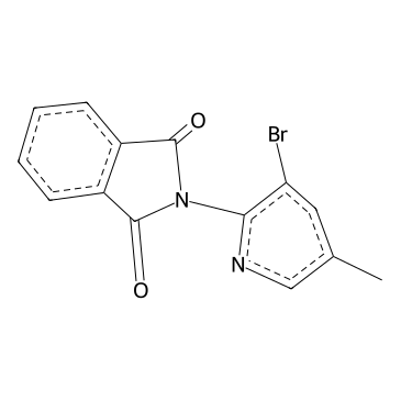 Cc1cnc(N2C(=O)c3ccccc3C2=O)c(Br)c1